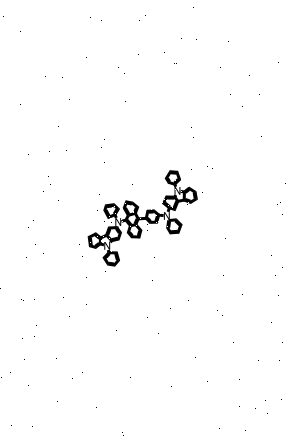 c1ccc(N(c2ccc(-c3c4ccccc4c(N(c4ccccc4)c4ccc5c(c4)c4ccccc4n5-c4ccccc4)c4ccccc34)cc2)c2ccc3c(c2)c2ccccc2n3-c2ccccc2)cc1